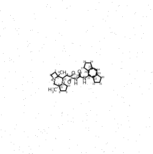 CC12CCN1C[C@]1(C)CCCN1C2CS(=O)(=O)NC(=O)Nc1c2c(cc3c1CCC3)CCC2